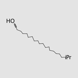 CC(C)CCCCCCCCCCCCCCCCCC#CO